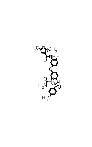 Cc1ccc(S(=O)(=O)N=c2ccc(Oc3ccc(F)c(NC(=O)c4cc(C)nn4C)c3)cn2CC(N)=O)cc1